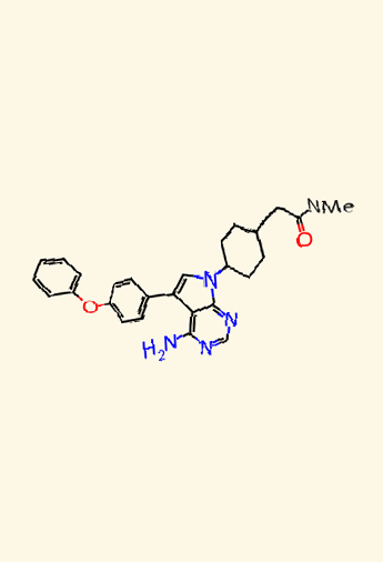 CNC(=O)CC1CCC(n2cc(-c3ccc(Oc4ccccc4)cc3)c3c(N)ncnc32)CC1